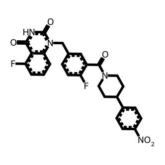 O=C(c1cc(Cn2c(=O)[nH]c(=O)c3c(F)cccc32)ccc1F)N1CCC(c2ccc([N+](=O)[O-])cc2)CC1